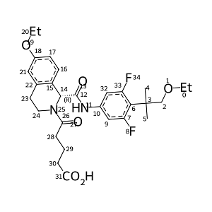 CCOCC(C)(C)c1c(F)cc(NC(=O)[C@H]2c3ccc(OCC)cc3CCN2C(=O)CCCC(=O)O)cc1F